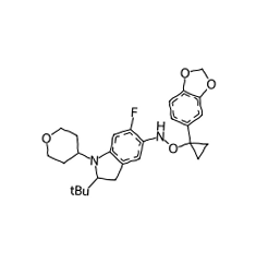 CC(C)(C)C1Cc2cc(NOC3(c4ccc5c(c4)OCO5)CC3)c(F)cc2N1C1CCOCC1